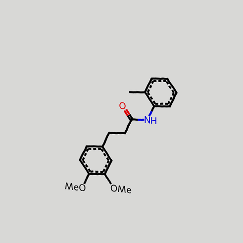 COc1ccc(CCC(=O)Nc2ccccc2C)cc1OC